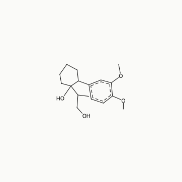 COc1ccc(C2CCCCC2(O)C(C)CO)cc1OC